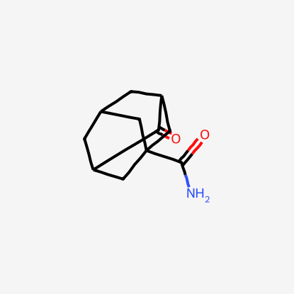 NC(=O)C12CC3CC(C1)C(=O)C(C3)C2